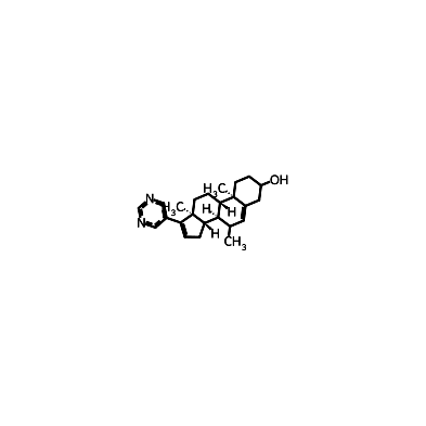 CC1C=C2CC(O)CC[C@]2(C)[C@H]2CC[C@]3(C)C(c4cncnc4)=CC[C@H]3[C@H]12